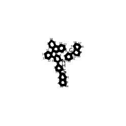 CC1(c2ccc(NC3C=CC(c4ccccc4-c4cc5ccccc5c5c4CCCC5)=CC3c3ccc4c(c3)sc3cc5ccccc5cc34)cc2)CC=Cc2ccccc21